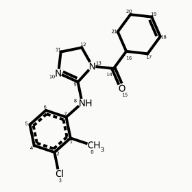 Cc1c(Cl)cccc1NC1=NCCN1C(=O)C1CC=CCC1